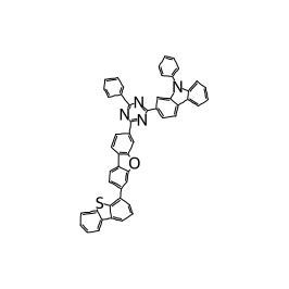 c1ccc(-c2nc(-c3ccc4c(c3)oc3cc(-c5cccc6c5sc5ccccc56)ccc34)nc(-c3ccc4c5ccccc5n(-c5ccccc5)c4c3)n2)cc1